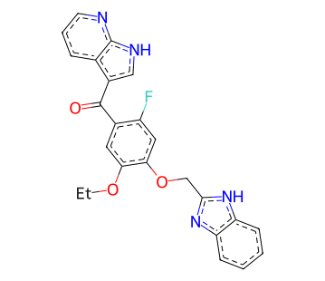 CCOc1cc(C(=O)c2c[nH]c3ncccc23)c(F)cc1OCc1nc2ccccc2[nH]1